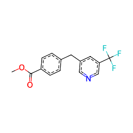 COC(=O)c1ccc(Cc2cncc(C(F)(F)F)c2)cc1